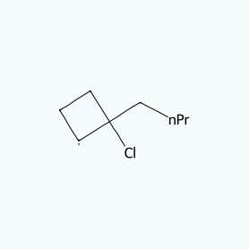 CCCCC1(Cl)[CH]CC1